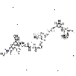 CC/N=c1/cc2oc3cc(NCC)c(C)cc3c(-c3ccccc3C(=O)N(C)CCCC(=O)NCCNC(=O)c3cccc(OCC(OCCOCC(=O)NCC#Cc4cn([C@H]5C[C@@H](O[C@@H](C)SSC)[C@@H](COP(=O)(O)O)O5)c(=O)[nH]c4=O)SSC(C)(C)C)c3)c-2cc1C